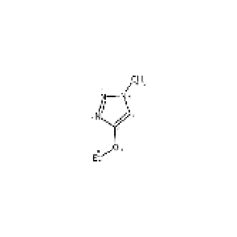 CCOc1cn(C)nn1